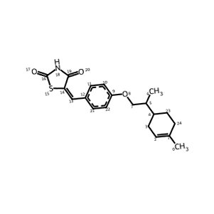 CC1=CCC(C(C)COc2ccc(/C=C3/SC(=O)NC3=O)cc2)CC1